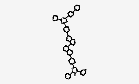 C1=C(c2ccccc2)NC(c2ccccc2)N=C1c1ccc(-c2ccc3c(-c4cccc5cc(-c6ccc(-c7cc(-c8ccc(-c9ccccc9)cc8)nc(-c8ccccc8)n7)cc6)ccc45)cccc3c2)cc1